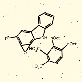 CCCCCCCCc1ccc(C(=O)O)c(C(=O)O)c1CCCCCCCC.CCCc1cc2c([nH]c3ccccc32)c2c1O2